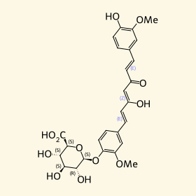 COc1cc(/C=C/C(=O)/C=C(O)/C=C/c2ccc(O[C@@H]3O[C@H](C(=O)O)[C@@H](O)[C@H](O)[C@H]3O)c(OC)c2)ccc1O